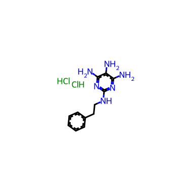 Cl.Cl.Nc1nc(NCCc2ccccc2)nc(N)c1N